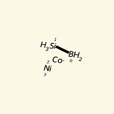 B[SiH3].[Co].[Ni]